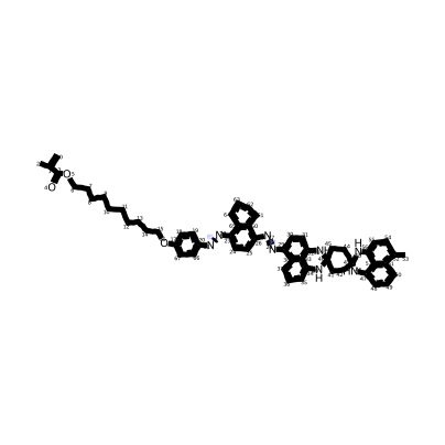 C=C(C)C(=O)OCCCCCCCCCCOc1ccc(/N=N/c2ccc(/N=N/c3ccc4c5c(cccc35)NC3(CCC5(CC3)Nc3cccc6c(C)ccc(c36)N5)N4)c3ccccc23)cc1